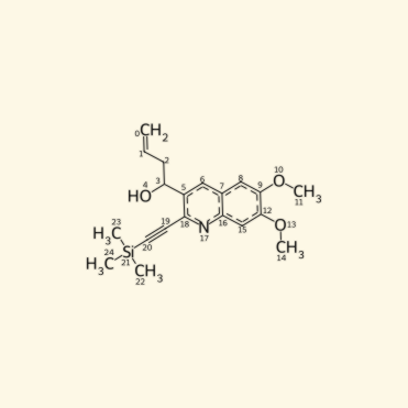 C=CCC(O)c1cc2cc(OC)c(OC)cc2nc1C#C[Si](C)(C)C